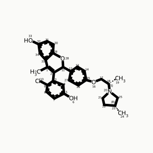 CC1=C(c2cc(O)ccc2Cl)C(c2ccc(OC[C@H](C)N3CC[C@@H](C)C3)cc2)Oc2ccc(O)cc21